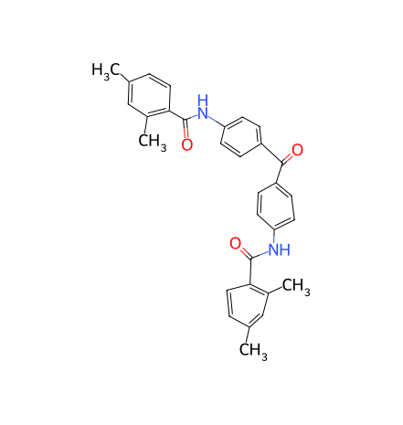 Cc1ccc(C(=O)Nc2ccc(C(=O)c3ccc(NC(=O)c4ccc(C)cc4C)cc3)cc2)c(C)c1